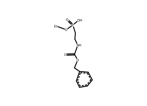 CCOP(=O)(O)CCNC(=O)OCc1ccccc1